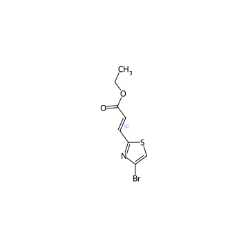 CCOC(=O)/C=C/c1nc(Br)cs1